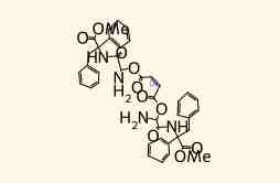 COC(=O)C(Cc1ccccc1)(NC(=O)C(N)OC(=O)/C=C\C(=O)OC(N)C(=O)NC(Cc1ccccc1)(C(=O)OC)c1ccccc1)c1ccccc1